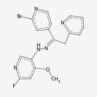 COc1cc(F)ncc1NN=C(Cc1ccccn1)c1ccnc(Br)c1